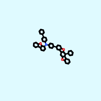 c1ccc(-c2ccc(N(c3ccc(-c4ccc5oc6c(-c7ccccc7)c7c(cc6c5c4)oc4ccccc47)cc3)c3cccc4c3oc3ccccc34)cc2)cc1